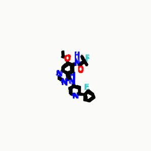 CCOc1cc2ncnc(Nc3ccnc(-c4ccccc4F)c3)c2cc1NC(=O)C(C)(C)F